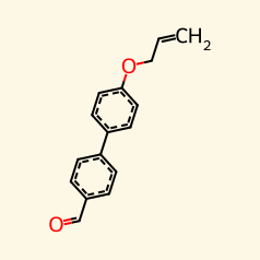 C=CCOc1ccc(-c2ccc(C=O)cc2)cc1